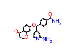 NC(=O)c1ccc([C@H](Oc2ccc3c(c2)OCCC3=O)c2ccnc(N)c2)cc1